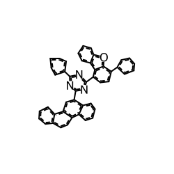 c1ccc(-c2nc(-c3cc4c5ccccc5ccc4c4ccccc34)nc(-c3ccc(-c4ccccc4)c4oc5ccccc5c34)n2)cc1